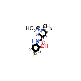 C[C@@H]1CC[C@@H](C(=O)Nc2ccc(F)cc2O)CN1C(=O)O